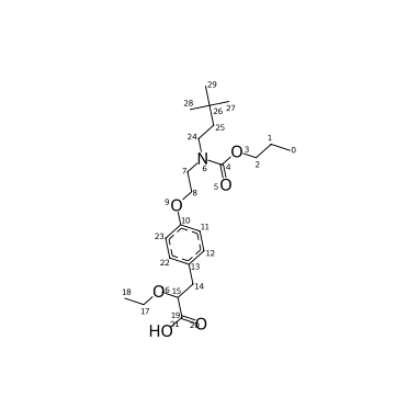 CCCOC(=O)N(CCOc1ccc(CC(OCC)C(=O)O)cc1)CCC(C)(C)C